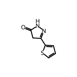 O=C1CC(c2cccs2)=NN1